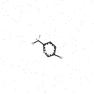 C[C@@H](Cl)c1ccc(Cl)cn1